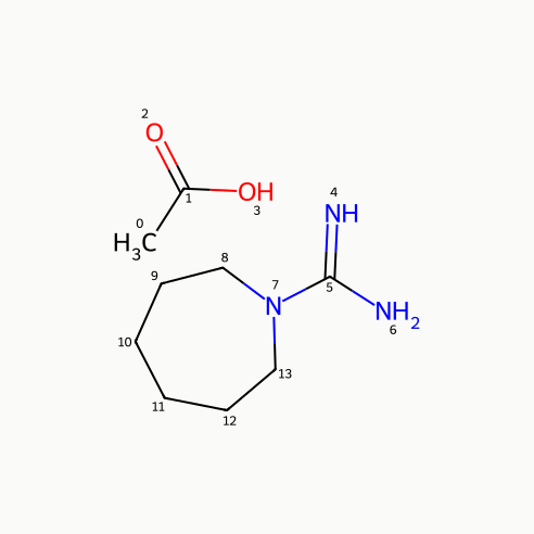 CC(=O)O.N=C(N)N1CCCCCC1